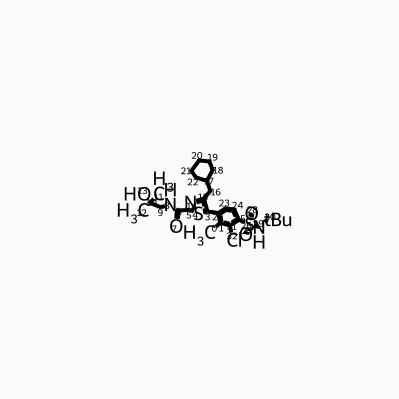 Cc1c(-c2sc(C(=O)NCC(C)(C)O)nc2CC2CCCCC2)ccc(S(=O)(=O)NC(C)(C)C)c1Cl